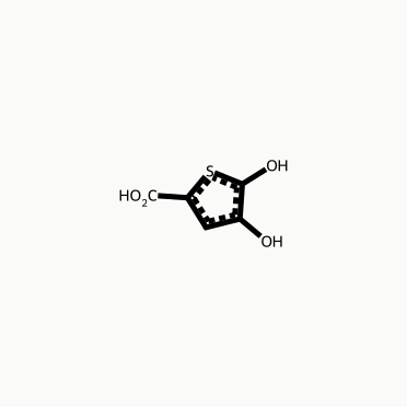 O=C(O)c1cc(O)c(O)s1